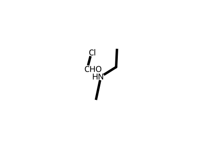 CCNC.O=CCl